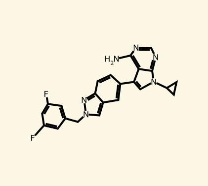 Nc1ncnc2c1c(-c1ccc3nn(Cc4cc(F)cc(F)c4)cc3c1)cn2C1CC1